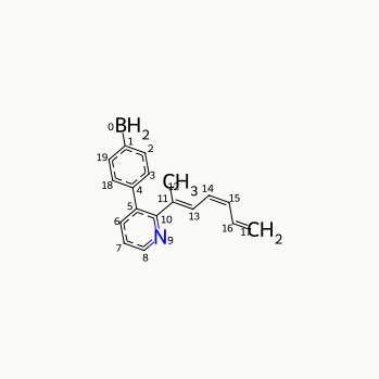 Bc1ccc(-c2cccnc2/C(C)=C/C=C\C=C)cc1